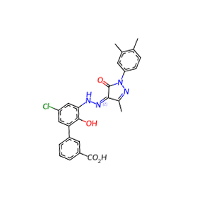 CC1=NN(c2ccc(C)c(C)c2)C(=O)/C1=N\Nc1cc(Cl)cc(-c2cccc(C(=O)O)c2)c1O